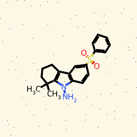 CC1(C)CCCc2c1n(N)c1ccc(S(=O)(=O)c3ccccc3)cc21